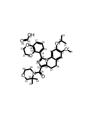 COc1cc2c(cc1OC(C)C)-n1c(-c3cccc4c3OCCO4)nc(C(=O)N3CCOCC3(C)C)c1CC2.O=CO